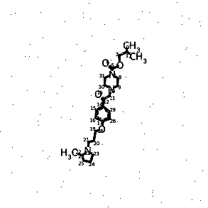 CC(C)COC(=O)N1CCN(CC(=O)c2ccc(OCCCN3CCCC3C)cc2)CC1